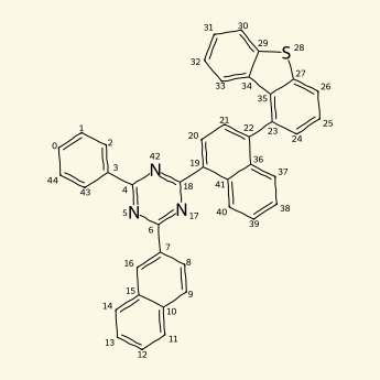 c1ccc(-c2nc(-c3ccc4ccccc4c3)nc(-c3ccc(-c4cccc5sc6ccccc6c45)c4ccccc34)n2)cc1